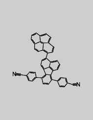 N#Cc1ccc(-c2ccc(-c3ccc(C#N)cc3)c3c2-c2cccc4c(-c5ccc6ccc7cccc8ccc5c6c78)ccc-3c24)cc1